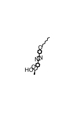 C#CC(Cc1ccc(-c2cnc(-c3ccc(OCCCCCCC)cc3)cn2)cc1)C(=O)O